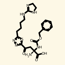 N[C@@](CC(=O)c1nnc(CCCCNC2=NCCN2)s1)(NC(=O)OCc1ccccc1)C(=O)O